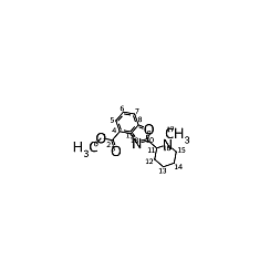 COC(=O)c1cccc2oc(C3CCCCN3C)nc12